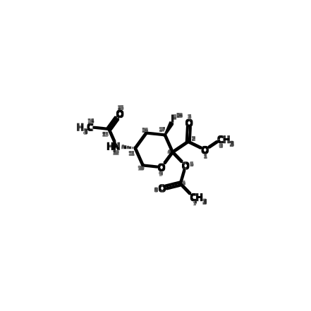 COC(=O)C1(OC(C)=O)OC[C@H](NC(C)=O)C[C@H]1F